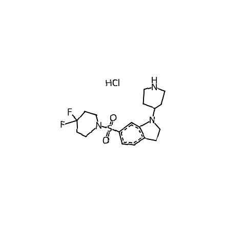 Cl.O=S(=O)(c1ccc2c(c1)N(C1CCNCC1)CC2)N1CCC(F)(F)CC1